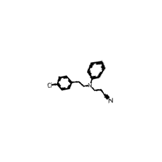 N#CCCN(CCc1ccc(Cl)cc1)c1ccccc1